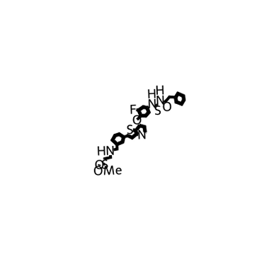 COOSCCNCc1cccc(-c2cc3nccc(Oc4ccc(NC(=S)NC(=O)Cc5ccccc5)cc4F)c3s2)c1